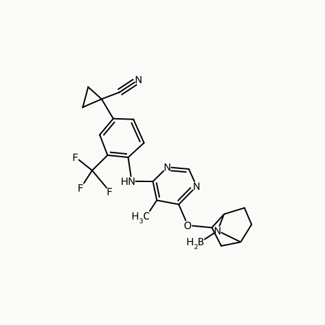 BN1C2CCC1C(Oc1ncnc(Nc3ccc(C4(C#N)CC4)cc3C(F)(F)F)c1C)C2